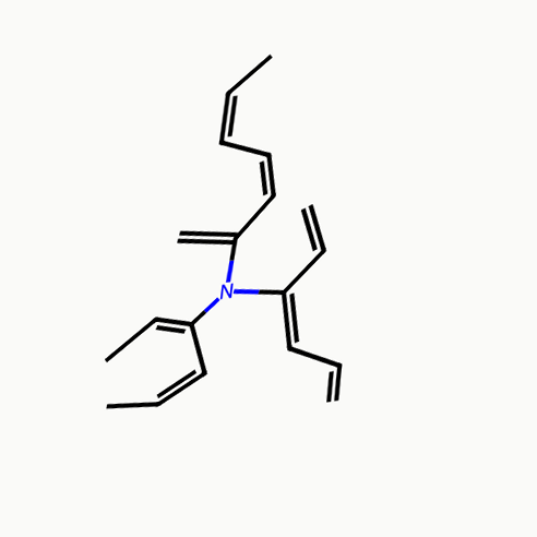 C=C/C=C(\C=C)N(C(=C)/C=C\C=C/C)C(/C=C\C)=C/C